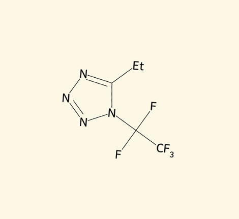 CCc1nnnn1C(F)(F)C(F)(F)F